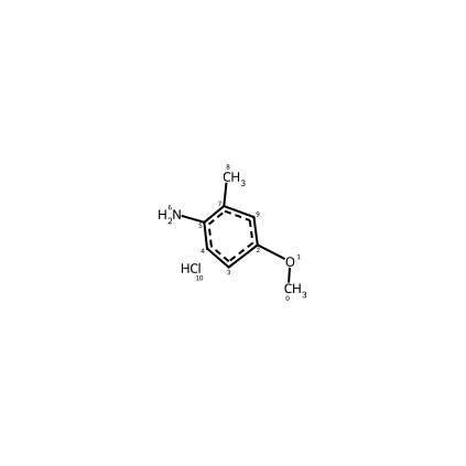 COc1ccc(N)c(C)c1.Cl